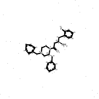 N[C@@H](CC(=O)N1CCN(Cc2ccccc2)C[C@H]1Cc1ccccc1)Cc1ccccc1F